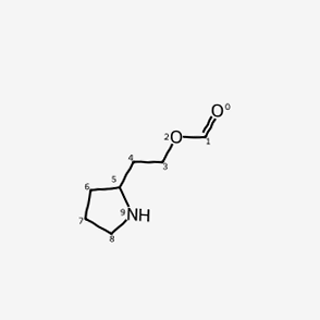 O=COCCC1CCCN1